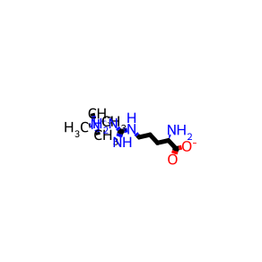 C[N+](C)(C)C.N=C(N)NCCC[C@H](N)C(=O)[O-]